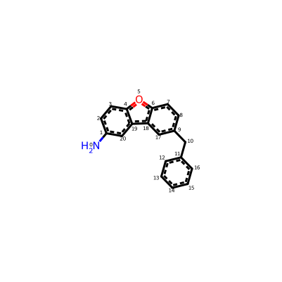 Nc1ccc2oc3ccc(Cc4ccccc4)cc3c2c1